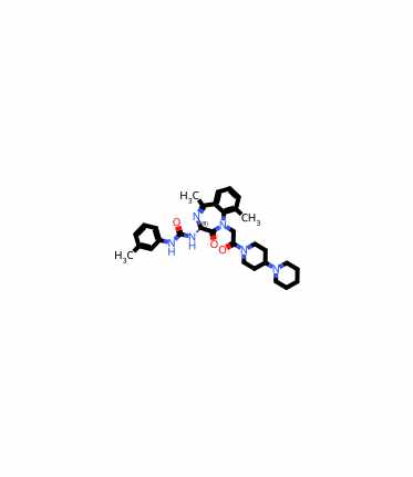 CC1=N[C@@H](NC(=O)Nc2cccc(C)c2)C(=O)N(CC(=O)N2CCC(N3CCCCC3)CC2)c2c(C)cccc21